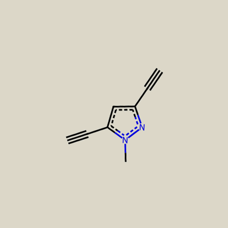 C#Cc1cc(C#C)n(C)n1